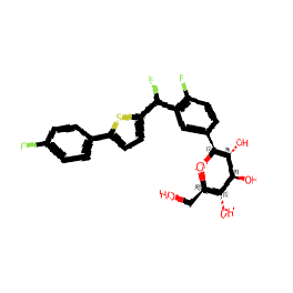 OC[C@H]1O[C@@H](c2ccc(F)c(C(F)c3ccc(-c4ccc(F)cc4)s3)c2)[C@H](O)[C@@H](O)[C@@H]1O